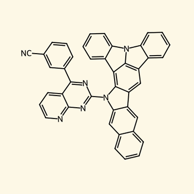 N#Cc1cccc(-c2nc(-n3c4cc5ccccc5cc4c4cc5c6ccccc6n6c7ccccc7c(c43)c56)nc3ncccc23)c1